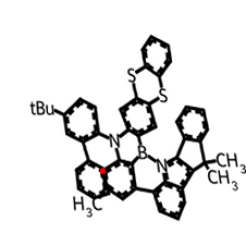 Cc1cc2c3c(c1)N(c1ccc(C(C)(C)C)cc1-c1ccccc1)c1cc4c(cc1B3n1c3c(c5cccc-2c51)C(C)(C)c1ccccc1-3)Sc1ccccc1S4